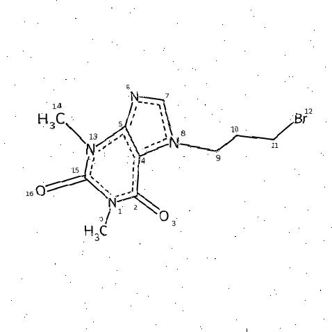 Cn1c(=O)c2c(ncn2CCCBr)n(C)c1=O